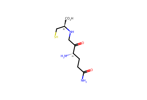 NC(=O)CC[C@H](N)C(=O)CN[C@@H](CS)C(=O)O